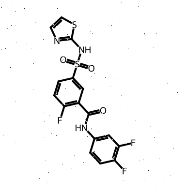 O=C(Nc1ccc(F)c(F)c1)c1cc(S(=O)(=O)Nc2nccs2)ccc1F